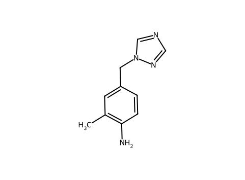 Cc1cc(Cn2cncn2)ccc1N